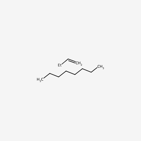 C=CCC.CCCCCCCC